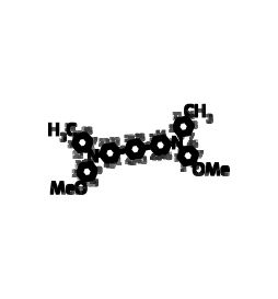 COc1ccc(N(c2ccc(C)cc2)c2ccc(-c3ccc(-c4ccc(N(c5ccc(C)cc5)c5ccc(OC)cc5)cc4)cc3)cc2)cc1